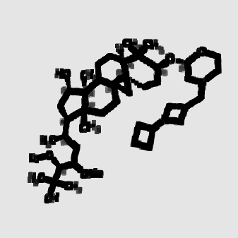 CCO[C@@H](C(C[C@@H](C)[C@H]1C[C@H](O)[C@@]2(C)C3CC[C@H]4C(C)(C)[C@@H](O[C@H]5CN(CC6CN(C7CCC7)C6)CCO5)CC[C@@]45C[C@@]35CC[C@]12C)OC)C(C)(C)O